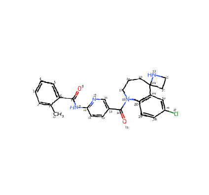 Cc1ccccc1C(=O)Nc1ccc(C(=O)N2CCCC3(CCN3)c3cc(Cl)ccc32)cn1